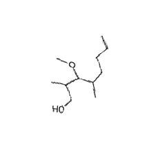 CCCCC(C)C(OC)C(C)CO